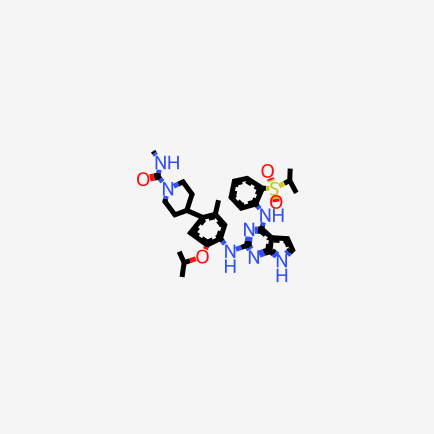 CNC(=O)N1CCC(c2cc(OC(C)C)c(Nc3nc(Nc4ccccc4S(=O)(=O)C(C)C)c4cc[nH]c4n3)cc2C)CC1